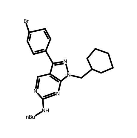 CCCCNc1ncc2c(-c3ccc(Br)cc3)nn(CC3CCCCC3)c2n1